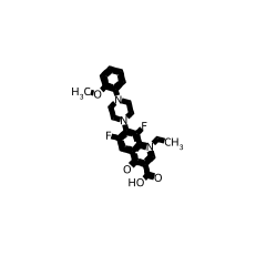 CCn1cc(C(=O)O)c(=O)c2cc(F)c(N3CCN(c4ccccc4OC)CC3)c(F)c21